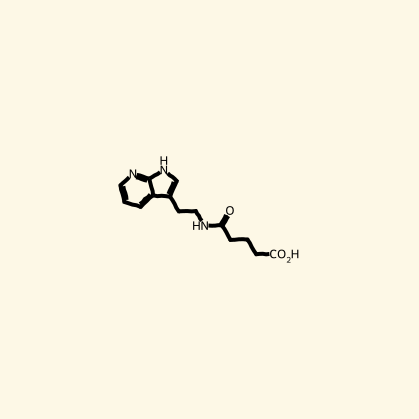 O=C(O)CCCC(=O)NCCc1c[nH]c2ncccc12